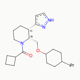 CC(C)C1CCC(OC[C@H]2[C@@H](c3cc[nH]n3)CCCN2C(=O)C2CCC2)CC1